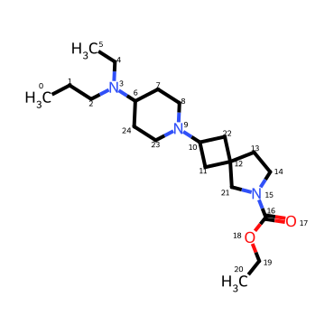 CCCN(CC)C1CCN(C2CC3(CCN(C(=O)OCC)C3)C2)CC1